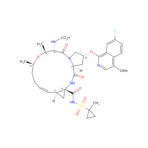 COc1cnc(O[C@@H]2C[C@H]3C(=O)N[C@]4(C(=O)NS(=O)(=O)C5(C)CC5)C[C@H]4/C=C\CC[C@@H](C)O[C@@H](C)[C@H](NC(=O)O)C(=O)N3C2)c2cc(F)ccc12